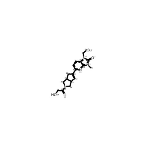 Cn1c(=O)n(CC(C)(C)C)c2ccc(C3=CC4CN(C(=O)CO)CC4C3)nc21